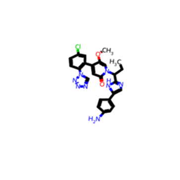 CCC(c1ncc(-c2ccc(N)cc2)[nH]1)n1cc(OC)c(-c2cc(Cl)ccc2-n2cnnn2)cc1=O